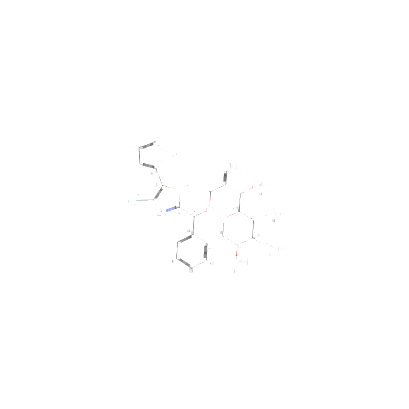 C=CCOC(c1nc(Cl)c(-c2cccs2)s1)c1ccccc1[C@@H]1OC(CO)[C@H](O)C(O)[C@H]1O